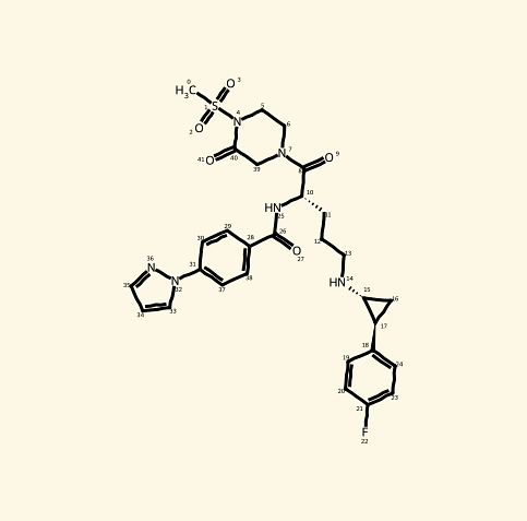 CS(=O)(=O)N1CCN(C(=O)[C@H](CCCN[C@@H]2C[C@H]2c2ccc(F)cc2)NC(=O)c2ccc(-n3cccn3)cc2)CC1=O